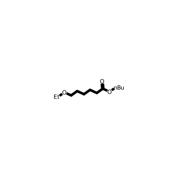 CCCCOC(=O)CCCCCOCC